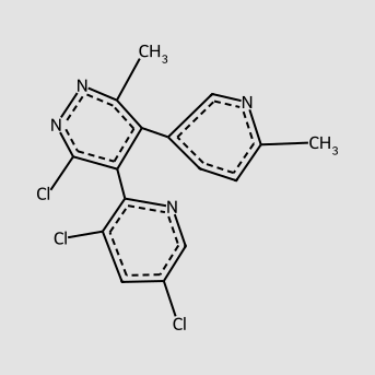 Cc1ccc(-c2c(C)nnc(Cl)c2-c2ncc(Cl)cc2Cl)cn1